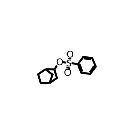 O=S(=O)(OC1CC2CCC1C2)c1ccccc1